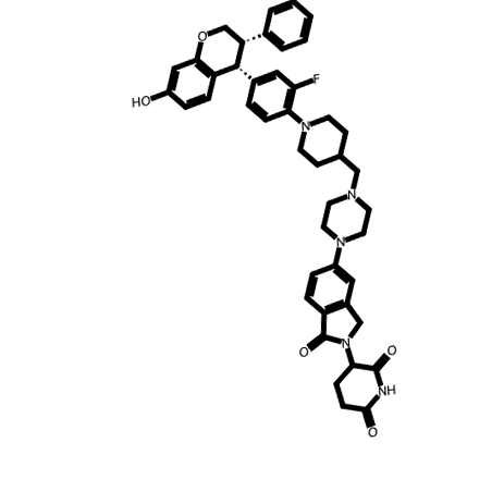 COc1cccc([C@H]2COc3cc(O)ccc3[C@H]2c2ccc(N3CCC(CN4CCN(c5ccc6c(c5)CN(C5CCC(=O)NC5=O)C6=O)CC4)CC3)c(F)c2)c1